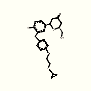 O=C1C[C@@H](CO)O[C@@H](c2ccc(Cl)c(Cc3ccc(OCCOC4CC4)cc3)c2)C1